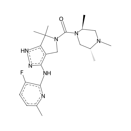 Cc1ccc(F)c(Nc2n[nH]c3c2CN(C(=O)N2C[C@@H](C)N(C)C[C@@H]2C)C3(C)C)n1